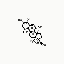 C#C[C@]1(O)CC[C@H]2[C@@H]3[C@@H](O)C=C4[C@@H](O)[C@@H](O)CC[C@]4(C)[C@H]3CC[C@@]21C